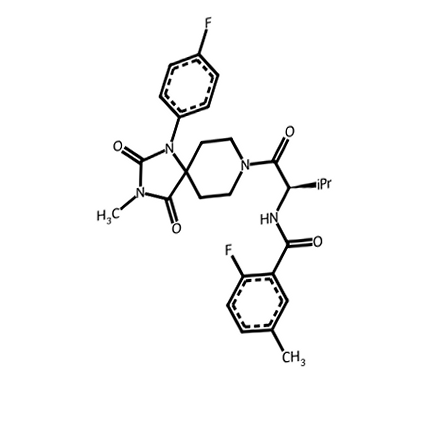 Cc1ccc(F)c(C(=O)N[C@@H](C(=O)N2CCC3(CC2)C(=O)N(C)C(=O)N3c2ccc(F)cc2)C(C)C)c1